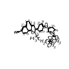 CCOC(=O)C(Cc1ccc2cc(C#N)ccc2c1)c1ccc(O[C@H]2CCN(C(=O)OC(C)(C)C)C2)cc1